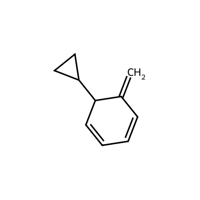 C=C1C=CC=CC1C1CC1